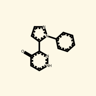 O=c1cc[nH]nc1-c1ccnn1-c1ccccc1